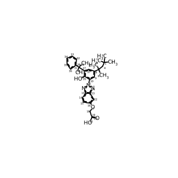 CC(C)(C)CC(C)(C)c1cc(-n2nc3ccc(OCC(=O)O)cc3n2)c(O)c(C(C)(C)c2ccccc2)c1